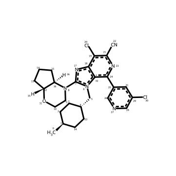 C[C@H]1CC[C@H](Cn2c(N3CCO[C@@H]4CCC[C@H]43)nc3c(Cl)c(C#N)nc(-c4cncc(Cl)c4)c32)CC1